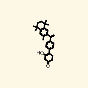 C=C(c1ccc(C2=C(O)CC(=O)CC2)cc1)c1cc2c(cc1C)C(C)(C)CCC2(C)C